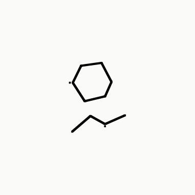 C[CH]CC.[CH]1CCCCC1